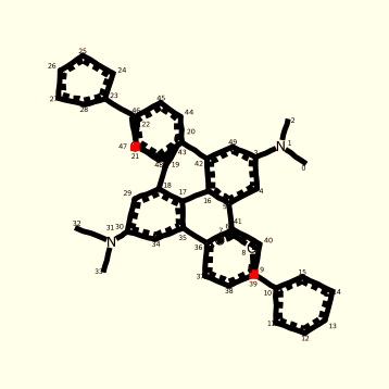 CN(C)c1cc(C(=O)OCc2ccccc2)c(-c2c(C(=O)OCc3ccccc3)cc(N(C)C)cc2-c2ccccc2)c(-c2ccccc2)c1